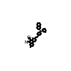 [C-]#[N+]c1c(C#N)c2cc(C)ccc2c2ccc(C=Cc3ccc(N(c4ccccc4)c4ccc5ccccc5c4)cc3)cc12